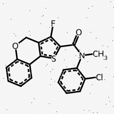 CN(C(=O)c1sc2c(c1F)COc1ccccc1-2)c1ccccc1Cl